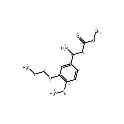 CCCOc1cc(C(N)CC(=O)OC)ccc1OC